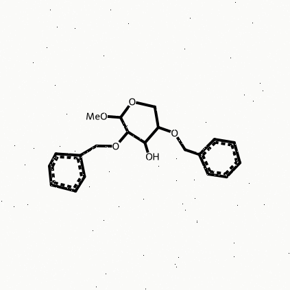 COC1OCC(OCc2ccccc2)C(O)C1OCc1ccccc1